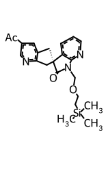 CC(=O)c1cnc2c(c1)C[C@@]1(C2)C(=O)N(COCC[Si](C)(C)C)c2ncccc21